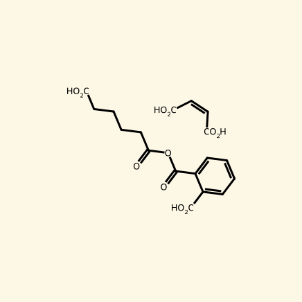 O=C(O)/C=C\C(=O)O.O=C(O)CCCCC(=O)OC(=O)c1ccccc1C(=O)O